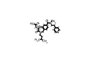 CC(C)CCN1Cc2ccc(C(=O)N(C)CCc3ccncc3)cc2N[C@H](CC(=O)O)C1=O